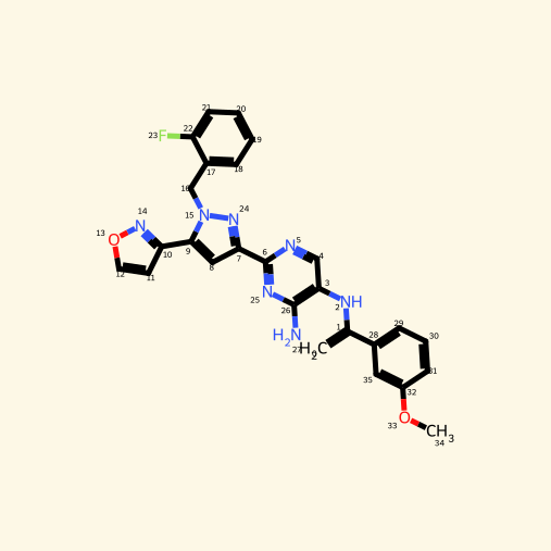 C=C(Nc1cnc(-c2cc(-c3ccon3)n(Cc3ccccc3F)n2)nc1N)c1cccc(OC)c1